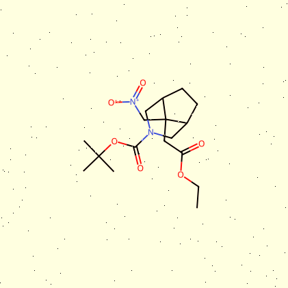 CCOC(=O)CC1(C[N+](=O)[O-])C2CCC1CN(C(=O)OC(C)(C)C)C2